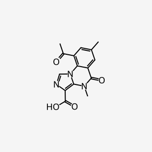 CC(=O)c1cc(C)cc2c(=O)n(C)c3c(C(=O)O)ncn3c12